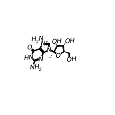 C[C@@]1(n2c[n+](N)c3c(=O)[nH]c(N)nc32)O[C@H](CO)[C@@H](O)[C@H]1O